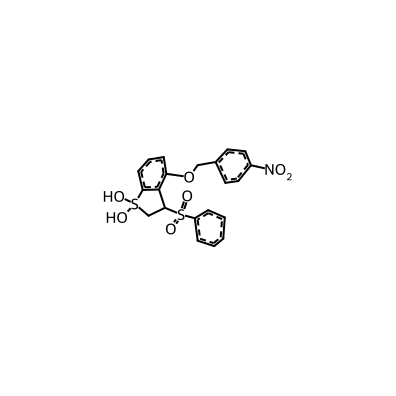 O=[N+]([O-])c1ccc(COc2cccc3c2C(S(=O)(=O)c2ccccc2)CS3(O)O)cc1